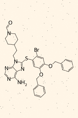 Nc1ncnc2c1nc(Sc1cc(OCc3ccccc3)c(OCc3ccccc3)cc1Br)n2CCC1CCN(C=O)CC1